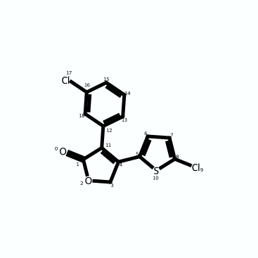 O=C1OCC(c2ccc(Cl)s2)=C1c1cccc(Cl)c1